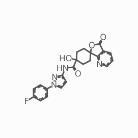 O=C1OC2(CCC(O)(C(=O)Nc3ccn(-c4ccc(F)cc4)n3)CC2)c2ncccc21